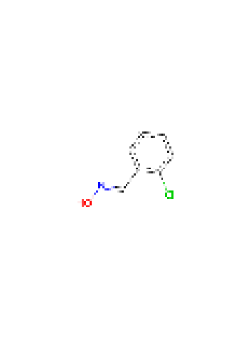 ON=Cc1c[c]ccc1Cl